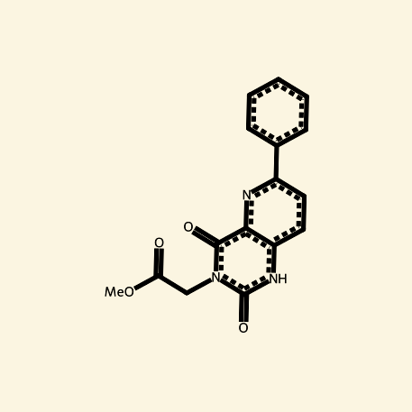 COC(=O)Cn1c(=O)[nH]c2ccc(-c3ccccc3)nc2c1=O